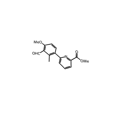 COC(=O)c1cccc(-c2ccc(OC)c(C=O)c2C)n1